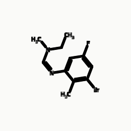 CCN(C)/C=N\c1cc(F)cc(Br)c1C